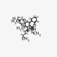 CCBC(=O)C12C(=O)Oc3ccccc3C1CC1(OCC(C)(C)CO1)C(C)C2CCCCC